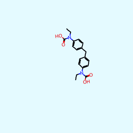 CCN(C(=O)O)c1ccc(Cc2ccc(N(CC)C(=O)O)cc2)cc1